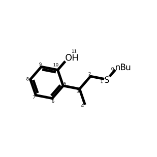 CCCCSCC(C)c1ccccc1O